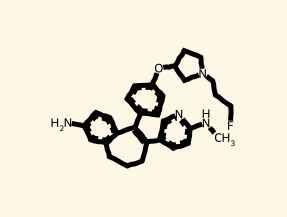 CNc1ccc(C2=C(c3ccc(OC4CCN(CCCF)C4)cc3)c3ccc(N)cc3CCC2)cn1